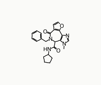 Cn1cnc2c1C(C(=O)NC1CCCC1)N(Cc1ccccc1)C(=O)c1ccoc1-2